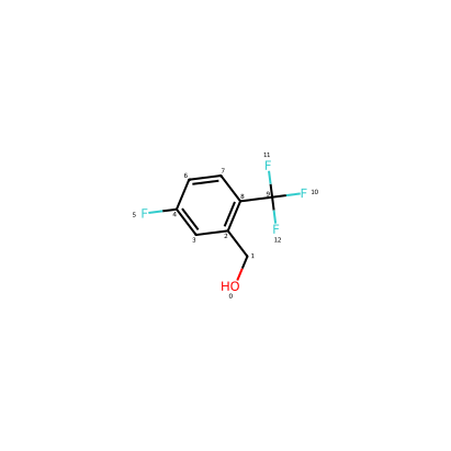 OCc1cc(F)ccc1C(F)(F)F